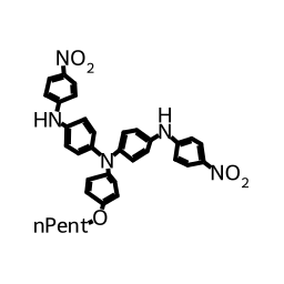 CCCCCOc1ccc(N(c2ccc(Nc3ccc([N+](=O)[O-])cc3)cc2)c2ccc(Nc3ccc([N+](=O)[O-])cc3)cc2)cc1